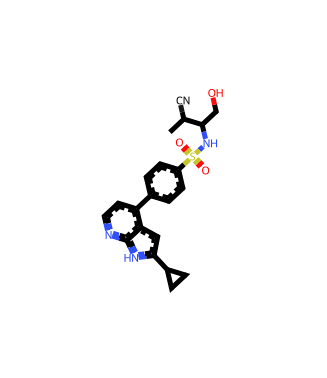 CC(C#N)C(CO)NS(=O)(=O)c1ccc(-c2ccnc3[nH]c(C4CC4)cc23)cc1